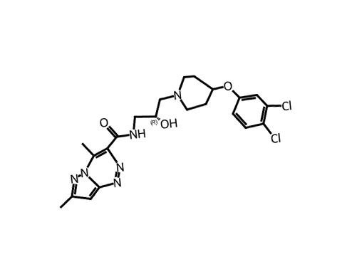 Cc1cc2nnc(C(=O)NC[C@@H](O)CN3CCC(Oc4ccc(Cl)c(Cl)c4)CC3)c(C)n2n1